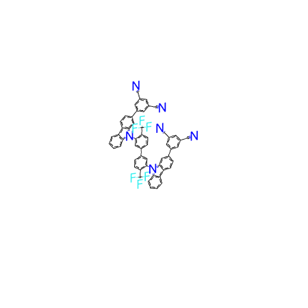 N#Cc1cc(C#N)cc(-c2ccc3c4ccccc4n(-c4cc(-c5ccc(C(F)(F)F)c(-n6c7ccccc7c7ccc(-c8cc(C#N)cc(C#N)c8)cc76)c5)ccc4C(F)(F)F)c3c2)c1